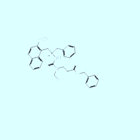 COc1ccc2ccccc2c1C[C@](Cc1ccccc1)(NC(=O)N(CCC(=O)OCc1ccccc1)CC(C)C)C(=O)O